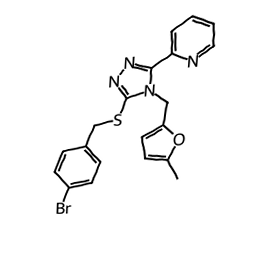 Cc1ccc(Cn2c(SCc3ccc(Br)cc3)nnc2-c2ccccn2)o1